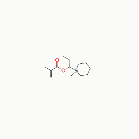 C=C(C)C(=O)OC(CC)[Si]1(C)CCCCC1